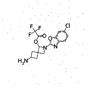 NC1CC2(C1)CN(c1nc3ccc(Cl)cc3o1)C2OC(=O)C(F)(F)F